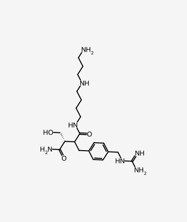 N=C(N)NCc1ccc(CC(C(=O)NCCCCNCCCN)[C@@H](CO)C(N)=O)cc1